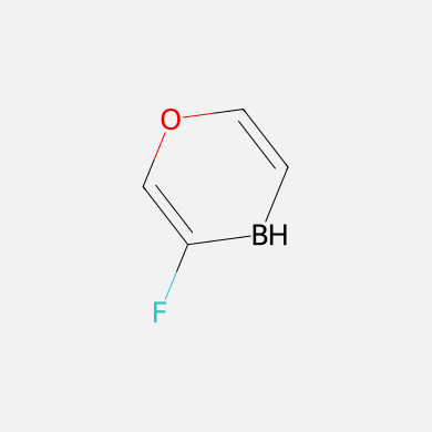 FC1=COC=CB1